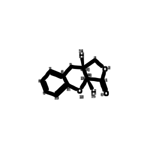 O=C1OC[C@H]2Cc3ccccc3O[C@@H]12